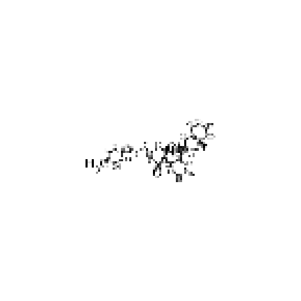 Cc1ccc(SCCC2CC(=O)C(c3ccccc3N[C@H](C=O)Cc3ccccc3)=C(O)C2)cc1